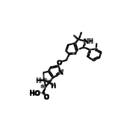 Cc1ccccc1C1NC(C)(C)c2ccc(COc3cc4c(cn3)[C@H]3[C@@H](C4)[C@@H]3C(=O)O)cc21